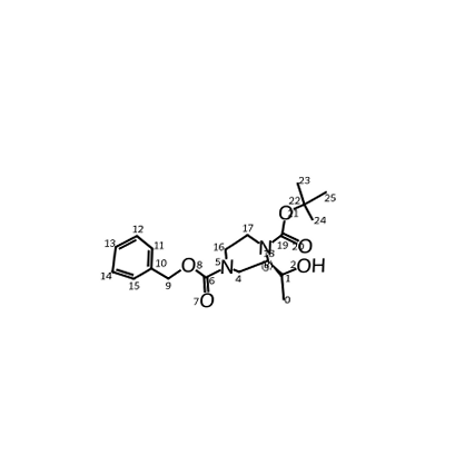 CC(O)[C@H]1CN(C(=O)OCc2ccccc2)CCN1C(=O)OC(C)(C)C